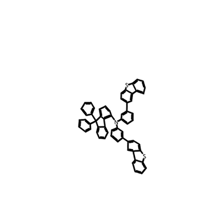 c1ccc(C2(c3ccccc3)c3ccccc3-c3c(N(c4cccc(-c5ccc6sc7ccccc7c6c5)c4)c4cccc(-c5ccc6sc7ccccc7c6c5)c4)cccc32)cc1